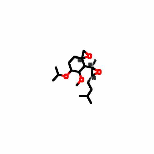 COC1C(OC(C)C)CC[C@]2(CO2)C1[C@@]1(C)O[C@@H]1CCC(C)C